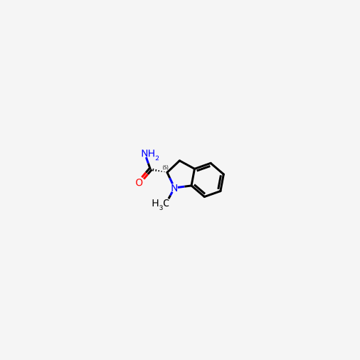 CN1c2ccccc2C[C@H]1C(N)=O